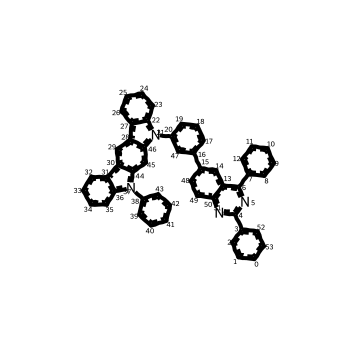 c1ccc(-c2nc(-c3ccccc3)c3cc(-c4cccc(-n5c6ccccc6c6cc7c8ccccc8n(-c8ccccc8)c7cc65)c4)ccc3n2)cc1